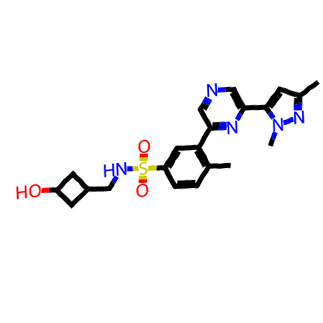 Cc1cc(-c2cncc(-c3cc(S(=O)(=O)NCC4CC(O)C4)ccc3C)n2)n(C)n1